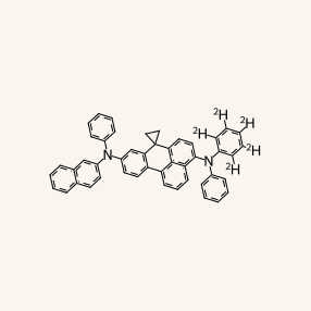 [2H]c1c([2H])c([2H])c(N(c2ccccc2)c2ccc3c4c(cccc24)-c2ccc(N(c4ccccc4)c4ccc5ccccc5c4)cc2C32CC2)c([2H])c1[2H]